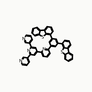 c1cncc(-c2cc(-c3cccc(-c4cc(-c5cccc6c5sc5ccccc56)cc(-c5cccc6c5sc5ccccc56)c4)n3)cc(-c3cccnc3)n2)c1